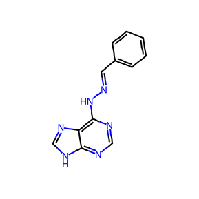 C(=N\Nc1ncnc2[nH]cnc12)/c1ccccc1